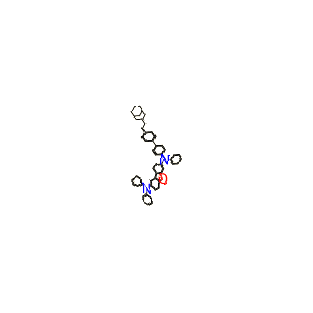 c1ccc(N(c2ccc(-c3ccc(CCC4CC5CCCC(C5)C4)cc3)cc2)c2ccc3c(c2)oc2ccc(N(c4ccccc4)c4ccccc4)cc23)cc1